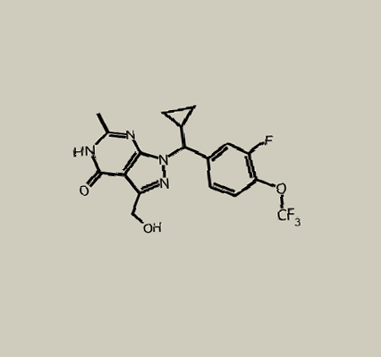 Cc1nc2c(c(CO)nn2C(c2ccc(OC(F)(F)F)c(F)c2)C2CC2)c(=O)[nH]1